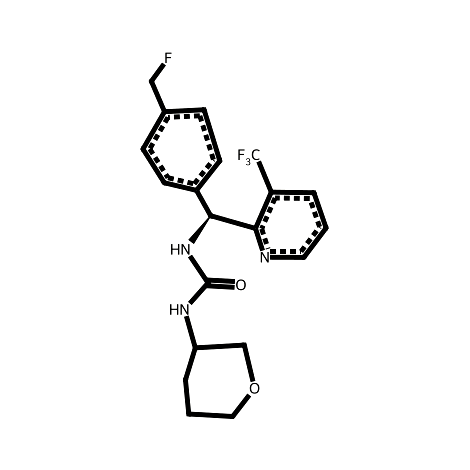 O=C(NC1CCCOC1)N[C@@H](c1ccc(CF)cc1)c1ncccc1C(F)(F)F